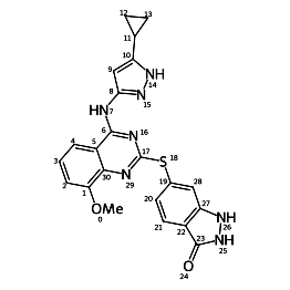 COc1cccc2c(Nc3cc(C4CC4)[nH]n3)nc(Sc3ccc4c(=O)[nH][nH]c4c3)nc12